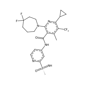 Cc1c(C(=O)Nc2ccnc([S@@](C)(=N)=O)c2)c(N2CCCC(F)(F)CC2)nc(C2CC2)c1C(F)(F)F